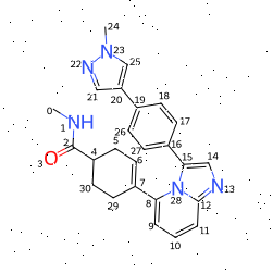 CNC(=O)C1CC=C(c2cccc3ncc(-c4ccc(-c5cnn(C)c5)cc4)n23)CC1